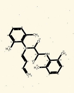 C=CC=CN(c1c(C)cccc1C)C(Cl)C(Cl)Nc1c(C)cccc1C